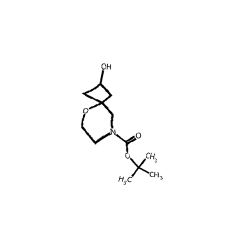 CC(C)(C)OC(=O)N1CCOC2(CC(O)C2)C1